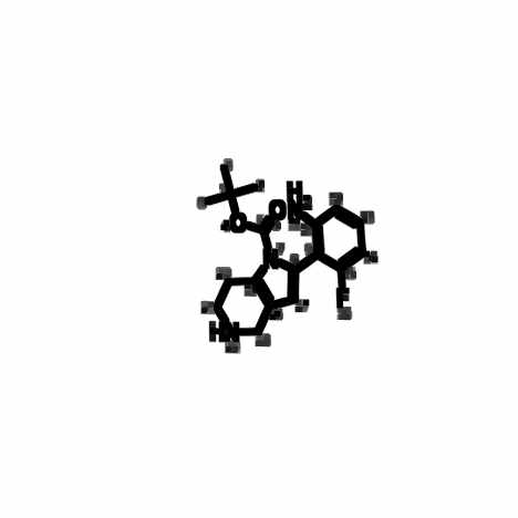 CC(C)(C)OC(=O)n1c(-c2c(N)cccc2F)cc2c1CCNC2